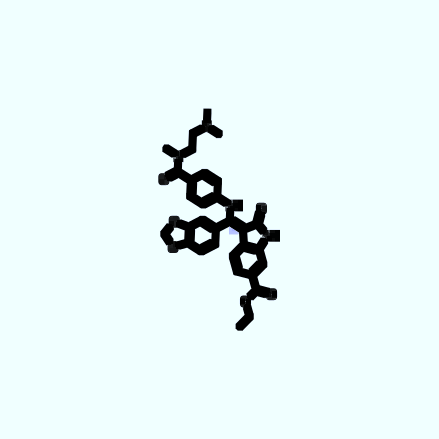 CCOC(=O)c1ccc2c(c1)NC(=O)/C2=C(\Nc1ccc(C(=O)N(C)CCN(C)C)cc1)c1ccc2c(c1)OCO2